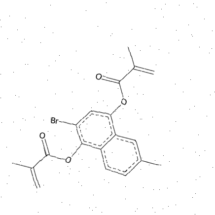 C=C(C)C(=O)Oc1cc(Br)c(OC(=O)C(=C)C)c2ccc(C)cc12